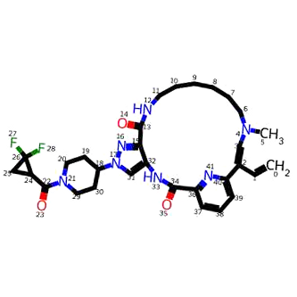 C=C/C1=C\N(C)CCCCCCNC(=O)c2nn(C3CCN(C(=O)C4CC4(F)F)CC3)cc2NC(=O)c2cccc1n2